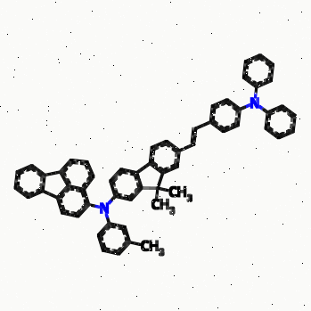 Cc1cccc(N(c2ccc3c(c2)C(C)(C)c2cc(/C=C/c4ccc(N(c5ccccc5)c5ccccc5)cc4)ccc2-3)c2ccc3c4c(cccc24)-c2ccccc2-3)c1